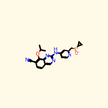 CC(C)Oc1c(C#N)ccc2cnc(Nc3ccnc(C[S+]([O-])C4CC4)c3)nc12